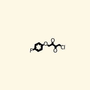 O=C(CCl)C(=O)COc1ccc(F)cc1